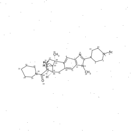 CC(=O)N1CCC(c2nc3cc4c(cc3n2C)C[C@H]2N(C(=O)N3CCCCC3)CC[C@]4(C)C2(C)C)CC1